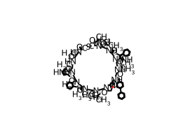 CC(C)C[C@@H]1NC(=O)[C@H](C(C)C)NC(=O)[C@H](Cc2ccccc2)N(C)C(=O)[C@H](Cc2c[nH]cn2)NC(=O)[C@H](C)NC(=O)[C@H](C)NC(=O)CSC[C@@H](C(=O)C(C)C)NC(=O)[C@H](C(C)C)NC(=O)[C@H](Cc2c[nH]c3ccccc23)NC(=O)[C@H](C(C)C)NC(=O)[C@H](Cc2ccc(-c3ccccc3)cc2)NC(=O)[C@@H]2CCCN2C1=O